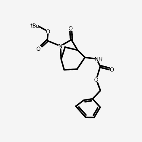 CC(C)(C)OC(=O)N1C(=O)C2CC1CCC2NC(=O)OCc1ccccc1